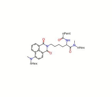 CCCCCCN(C)C(=O)C(CCCCN1C(=O)c2cccc3c(N(C)CCCCCC)ccc(c23)C1=O)NC(=O)CCCCC